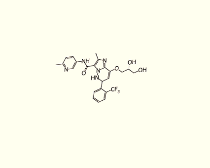 Cc1ccc(NC(=O)c2c(C)nc3n2NC(c2ccccc2C(F)(F)F)C=C3OC[C@H](O)CO)cn1